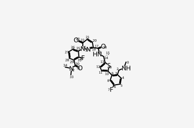 CNCc1ccc(F)cc1-c1ccc([C@@H](C)NC(=O)c2ccc(=O)n(-c3cccc(C(=O)N(C)C)c3F)n2)s1